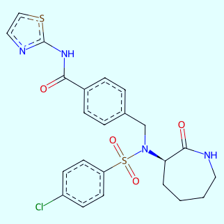 O=C(Nc1nccs1)c1ccc(CN([C@@H]2CCCCNC2=O)S(=O)(=O)c2ccc(Cl)cc2)cc1